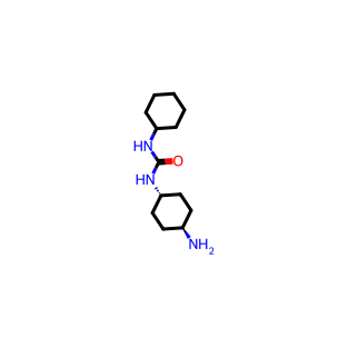 N[C@H]1CC[C@H](NC(=O)NC2CCCCC2)CC1